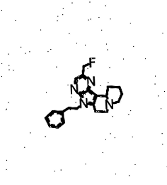 FCc1cnc2c(n1)c1c(n2CCc2ccccc2)CCN2CCCCC12